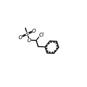 CS(=O)(=O)OC(Cl)Cc1ccccc1